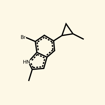 Cc1cc2cc(C3CC3C)cc(Br)c2[nH]1